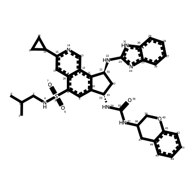 CC(C)CNS(=O)(=O)c1cc2c(c3cnc(C4CC4)cc13)[C@@H](Nc1nc3ccccc3[nH]1)C[C@@H]2NC(=O)NC1COc2ccccc2C1